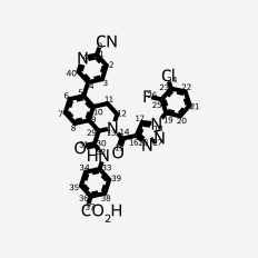 N#Cc1ccc(-c2cccc3c2CCN(C(=O)c2cn(-c4cccc(Cl)c4F)nn2)C3C(=O)Nc2ccc(C(=O)O)cc2)cn1